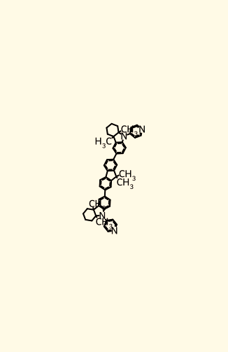 CC1(C)c2cc(-c3ccc4c(c3)C3(C)CCCCC3(C)N4c3ccncc3)ccc2-c2ccc(-c3ccc4c(c3)C3(C)CCCCC3(C)N4c3ccncc3)cc21